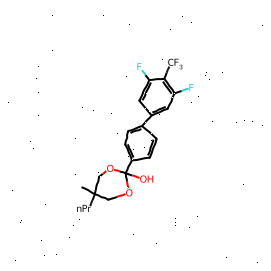 CCCC1(C)COC(O)(c2ccc(-c3cc(F)c(C(F)(F)F)c(F)c3)cc2)OC1